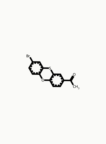 CC(=O)c1ccc2c(c1)Sc1cc(Br)ccc1O2